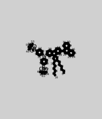 CCCCCCCCC1(CCCCCCCC)c2cc(-c3cc4ccccc4c4ccccc34)ccc2-c2ccc(N(c3ccc(B4OC(C)(C)C(C)(C)O4)cc3)c3ccc(B4OC(C)(C)C(C)(C)O4)cc3)cc21